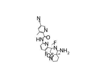 Cc1cc(C#N)cnc1C(=O)Nc1ccc(F)c([C@]2(CF)CS3(=O)=NCCC[C@@]3(C)C(N)=N2)n1